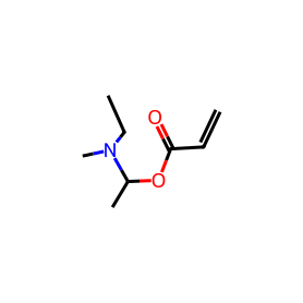 C=CC(=O)OC(C)N(C)CC